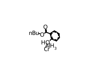 CCCCOC(=O)c1ccccc1O.[AlH3].[Cr]